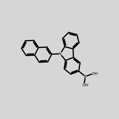 OB(O)c1ccc2c(c1)c1ccccc1n2-c1ccc2ccccc2c1